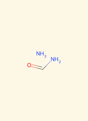 N.NC=O